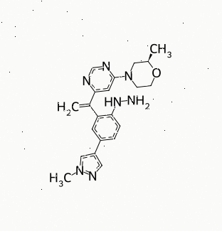 C=C(c1cc(N2CCO[C@H](C)C2)ncn1)c1cc(-c2cnn(C)c2)ccc1NN